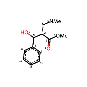 CNC[C@H](C(=O)OC)C(O)c1ccccc1